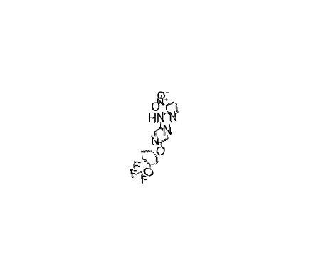 O=[N+]([O-])c1cccnc1Nc1cnc(Oc2cccc(OC(F)(F)F)c2)cn1